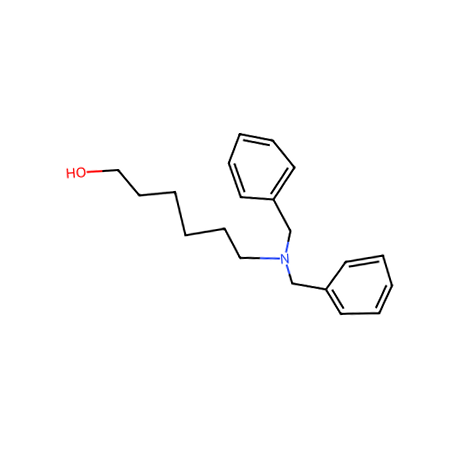 OCCCCCCN(Cc1ccccc1)Cc1ccccc1